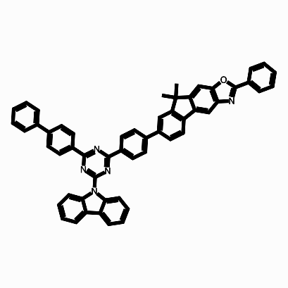 CC1(C)c2cc(-c3ccc(-c4nc(-c5ccc(-c6ccccc6)cc5)nc(-n5c6ccccc6c6ccccc65)n4)cc3)ccc2-c2cc3nc(-c4ccccc4)oc3cc21